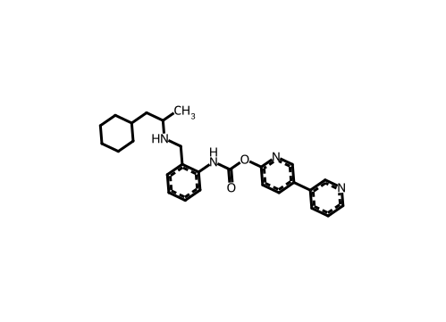 CC(CC1CCCCC1)NCc1ccccc1NC(=O)Oc1ccc(-c2cccnc2)cn1